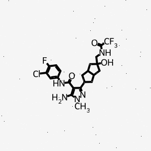 Cn1nc(C2CC3CC(O)(CNC(=O)C(F)(F)F)CC3C2)c(C(=O)Nc2ccc(F)c(Cl)c2)c1N